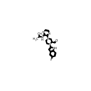 CC(C)Nc1nccnc1N1CCN(c2cc3cc(F)ccc3[nH]2)C(C=O)C1